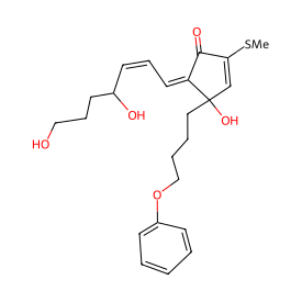 CSC1=CC(O)(CCCCOc2ccccc2)C(=C/C=C\C(O)CCCO)C1=O